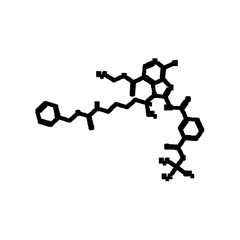 CCOC(=O)c1cnc(Cl)c2nc(NC(=O)c3cccc(C(=O)OC(C)(C)C)c3)n([C@@H](C)CCCCNC(=O)OCc3ccccc3)c12